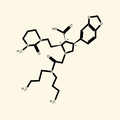 CCCCN(CCCC)C(=O)CN1C[C@H](c2ccc3c(c2)OCO3)[C@@H](C(=O)O)[C@@H]1CCN1CCCN(C)C1=O